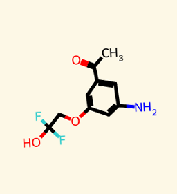 CC(=O)c1cc(N)cc(OCC(O)(F)F)c1